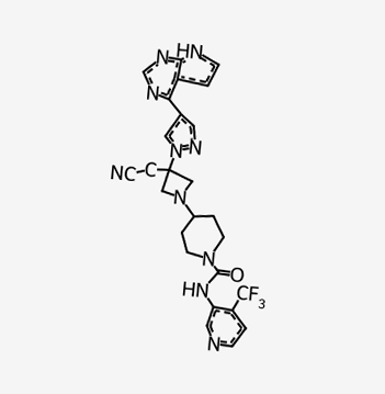 N#CCC1(n2cc(-c3ncnc4[nH]ccc34)cn2)CN(C2CCN(C(=O)Nc3cnccc3C(F)(F)F)CC2)C1